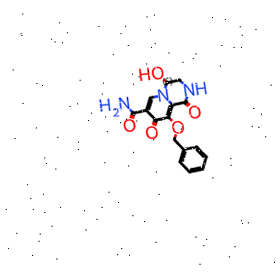 NC(=O)c1cn2c(c(OCc3ccccc3)c1=O)C(=O)NC[C@@H]2O